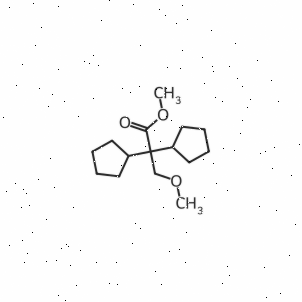 COCC(C(=O)OC)(C1CCCC1)C1CCCC1